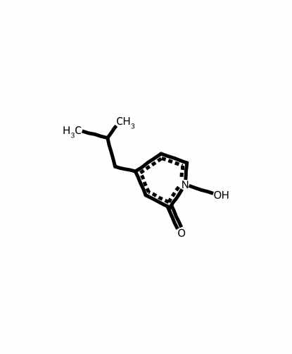 CC(C)Cc1ccn(O)c(=O)c1